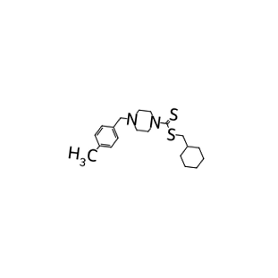 Cc1ccc(CN2CCN(C(=S)SCC3CCCCC3)CC2)cc1